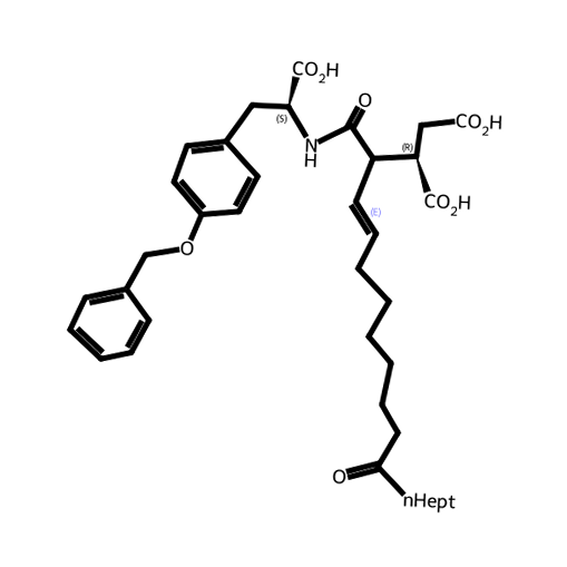 CCCCCCCC(=O)CCCCCC/C=C/C(C(=O)N[C@@H](Cc1ccc(OCc2ccccc2)cc1)C(=O)O)[C@@H](CC(=O)O)C(=O)O